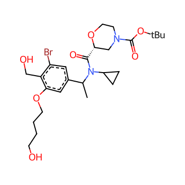 CC(c1cc(Br)c(CO)c(OCCCCO)c1)N(C(=O)[C@H]1CN(C(=O)OC(C)(C)C)CCO1)C1CC1